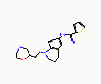 N=C(Nc1ccc2c(c1)CCCN2CCC1CNCCO1)c1cccs1